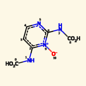 O=C(O)Nc1ccnc(NC(=O)O)[n+]1[O-]